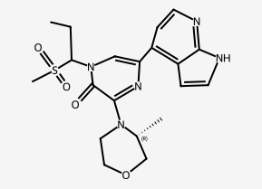 CCC(n1cc(-c2ccnc3[nH]ccc23)nc(N2CCOC[C@H]2C)c1=O)S(C)(=O)=O